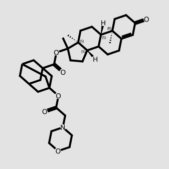 CC1(OC(=O)C23CC4CC(CC(OC(=O)CN5CCOCC5)(C4)C2)C3)CC[C@H]2C3CCC4=CC(=O)CC[C@]4(C)[C@H]3CC[C@@]21C